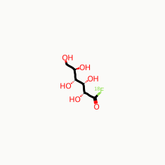 O=C([18F])[C@H](O)[C@@H](O)[C@H](O)[C@H](O)CO